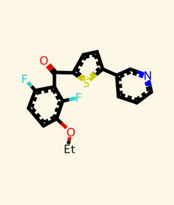 CCOc1ccc(F)c(C(=O)c2ccc(-c3cccnc3)s2)c1F